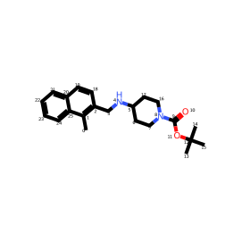 Cc1c(CNC2CCN(C(=O)OC(C)(C)C)CC2)ccc2ccccc12